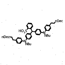 CCCCCCCCCCCCc1ccc(N(CCCC)c2ccc(C(c3ccc(N(CCCC)c4ccc(CCCCCCCCCCCC)cc4)cc3)c3ccccc3S(=O)(=O)O)cc2)cc1